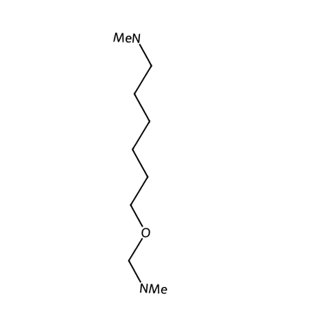 CNCCCCCCOCNC